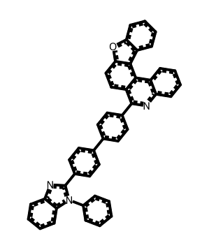 c1ccc(-n2c(-c3ccc(-c4ccc(-c5nc6ccccc6c6c5ccc5oc7ccccc7c56)cc4)cc3)nc3ccccc32)cc1